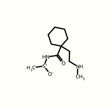 CNCCC1(C(=O)N[S+](C)[O-])CCCCC1